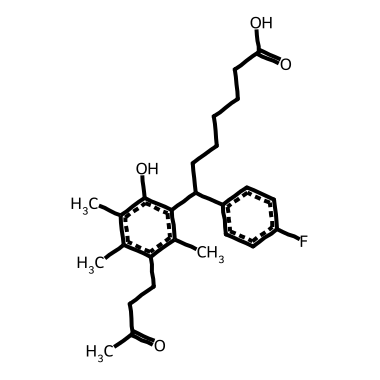 CC(=O)CCc1c(C)c(C)c(O)c(C(CCCCCC(=O)O)c2ccc(F)cc2)c1C